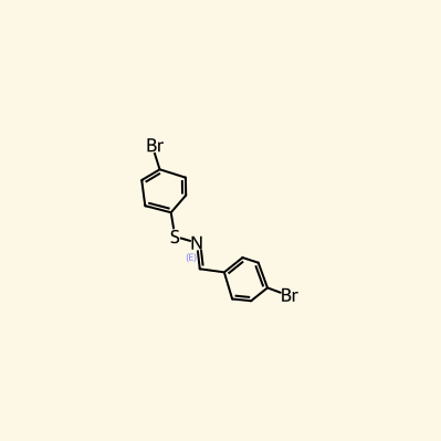 Brc1ccc(/C=N/Sc2ccc(Br)cc2)cc1